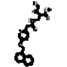 O=CNC(CNC(=O)Cc1ccc(OCc2cccc3ccccc23)cn1)C(=O)O